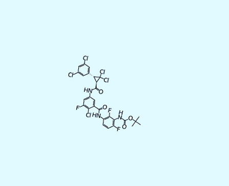 CC(C)(C)OC(=O)Nc1c(F)ccc(NC(=O)c2cc(NC(=O)[C@H]3[C@H](c4cc(Cl)cc(Cl)c4)C3(Cl)Cl)cc(F)c2Cl)c1F